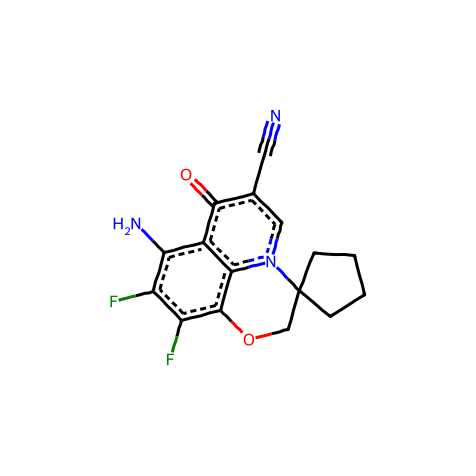 N#Cc1cn2c3c(c(F)c(F)c(N)c3c1=O)OCC21CCCC1